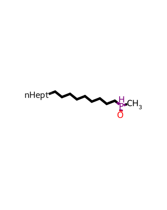 CCCCCCCCCCCCCCCC[PH](C)=O